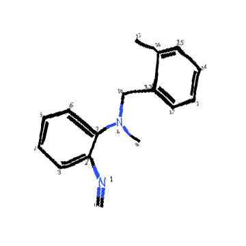 C=Nc1ccccc1N(C)Cc1ccccc1C